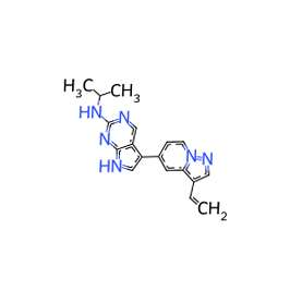 C=Cc1cnn2ccc(-c3c[nH]c4nc(NC(C)C)ncc34)cc12